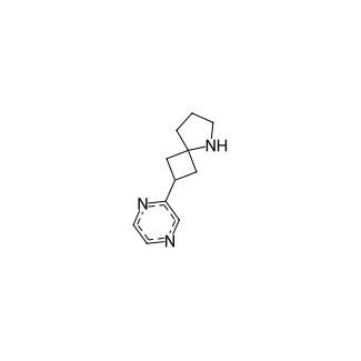 c1cnc(C2CC3(CCCN3)C2)cn1